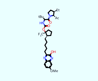 CC[C@@H]1CCN(C(=O)C(NC(=O)O[C@]2(C(F)(F)F)CCC[C@H]2CCCCCc2nc3ccc(OC)cc3nc2O)C(C)(C)C)[C@@H]1C(C)=O